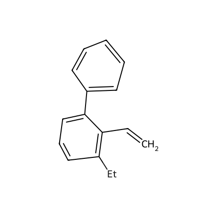 C=Cc1c(CC)cccc1-c1ccccc1